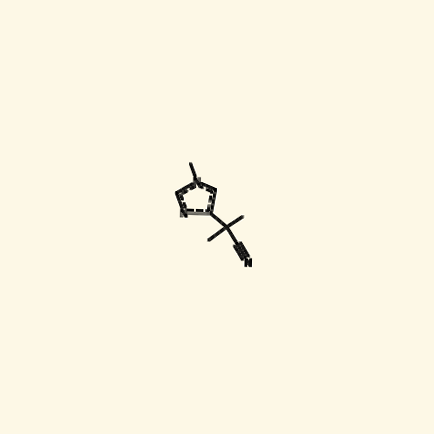 Cn1cnc(C(C)(C)C#N)c1